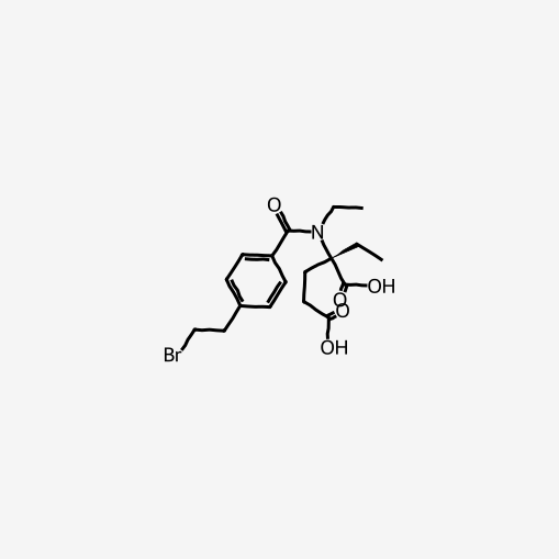 CCN(C(=O)c1ccc(CCBr)cc1)[C@@](CC)(CCC(=O)O)C(=O)O